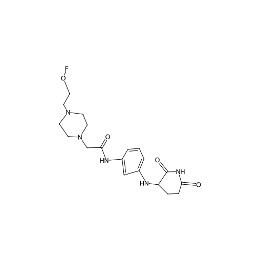 O=C1CCC(Nc2cccc(NC(=O)CN3CCN(CCOF)CC3)c2)C(=O)N1